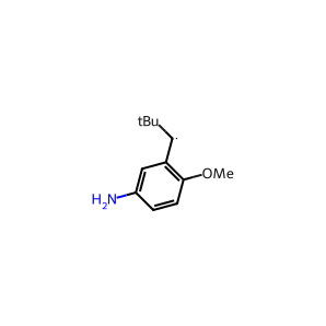 COc1ccc(N)cc1[CH]C(C)(C)C